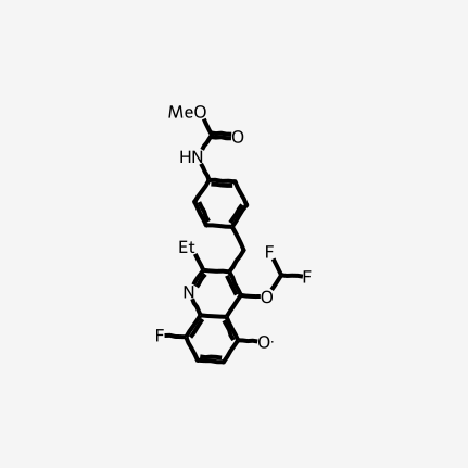 CCc1nc2c(F)ccc([O])c2c(OC(F)F)c1Cc1ccc(NC(=O)OC)cc1